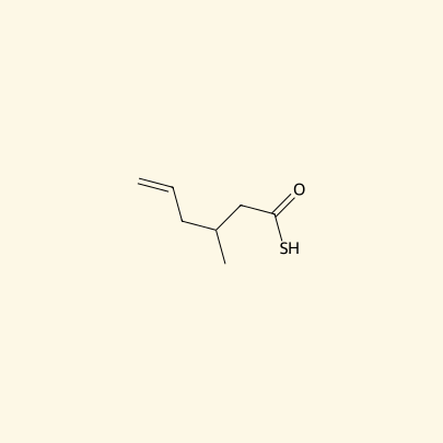 C=CCC(C)CC(=O)S